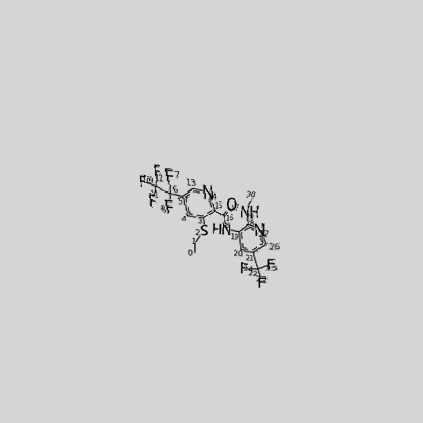 CCSc1cc(C(F)(F)C(F)(F)F)cnc1C(=O)Nc1cc(C(F)(F)F)cnc1NC